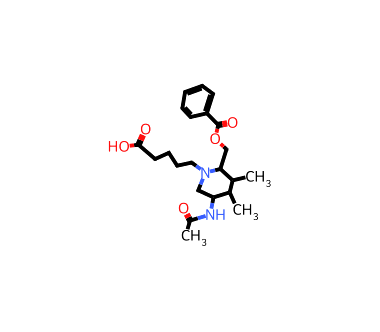 CC(=O)NC1CN(CCCCC(=O)O)C(COC(=O)c2ccccc2)C(C)C1C